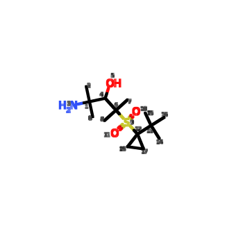 CC(C)(N)C(O)C(C)(C)S(=O)(=O)C1(C(C)(C)C)CC1